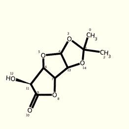 CC1(C)OC2OC3C(OC(=O)[C@H]3O)C2O1